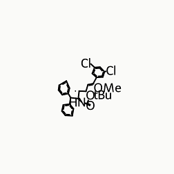 COC(=CC[CH]C(NC(=O)OC(C)(C)C)C(c1ccccc1)c1ccccc1)c1cc(Cl)cc(Cl)c1